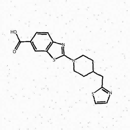 O=C(O)c1ccc2nc(N3CCC(Cc4nccs4)CC3)sc2c1